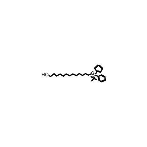 CC(C)(C)[Si](OCCCCCCCCCCCCCO)(c1ccccc1)c1ccccc1